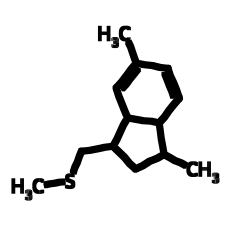 CSCC1CC(C)C2C=CC(C)=CC12